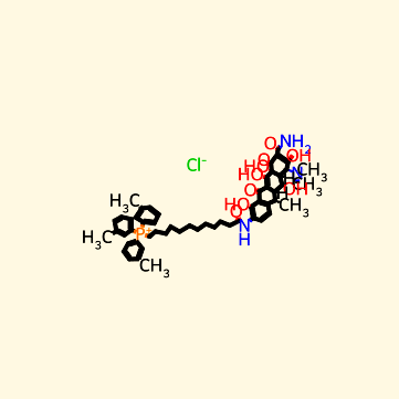 Cc1cccc([P+](CCCCCCCCCCCC(=O)Nc2ccc3c(c2O)C(=O)C2=C(O)[C@]4(O)C(=O)C(C(N)=O)=C(O)[C@@H](N(C)C)[C@@H]4[C@@H](O)[C@@H]2[C@H]3C)(c2cccc(C)c2)c2cccc(C)c2)c1.[Cl-]